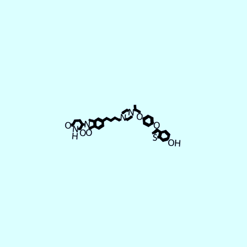 CC(COc1ccc(Oc2csc3cc(O)ccc23)cc1)N1CCN(CCCCc2ccc3c(c2)CN(C2CCC(=O)NC2=O)C3=O)CC1